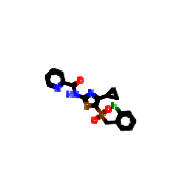 O=C(Nc1nc(C2CC2)c(S(=O)(=O)Cc2ccccc2F)s1)c1ccccn1